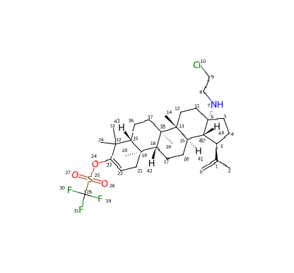 C=C(C)[C@@H]1CC[C@]2(NCCCl)CC[C@]3(C)[C@H](CC[C@@H]4[C@@]5(C)CC=C(OS(=O)(=O)C(F)(F)F)C(C)(C)[C@@H]5CC[C@]43C)[C@@H]12